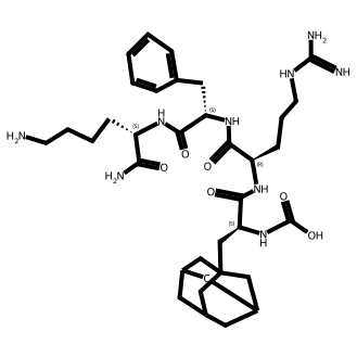 N=C(N)NCCC[C@@H](NC(=O)[C@H](CC12CC3CC(CC(C3)C1)C2)NC(=O)O)C(=O)N[C@@H](Cc1ccccc1)C(=O)N[C@@H](CCCCN)C(N)=O